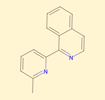 Cc1cccc(-c2nccc3ccccc23)n1